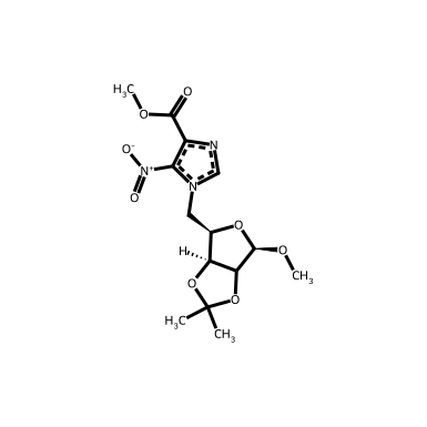 COC(=O)c1ncn(C[C@H]2O[C@@H](OC)C3OC(C)(C)O[C@H]32)c1[N+](=O)[O-]